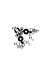 CC(C)(OO)c1ccc(S(=O)(=O)C2CNCCN2S(=O)(=O)c2ccc(C(C)(C)OO)cc2)cc1